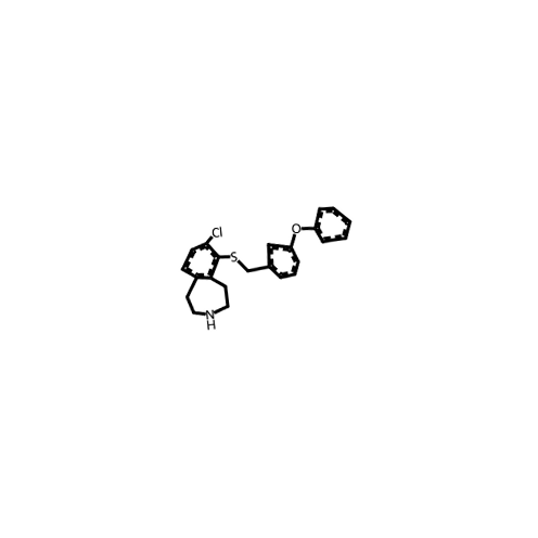 Clc1ccc2c(c1SCc1cccc(Oc3ccccc3)c1)CCNCC2